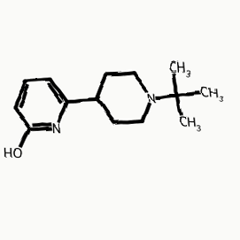 CC(C)(C)N1CCC(c2cccc(O)n2)CC1